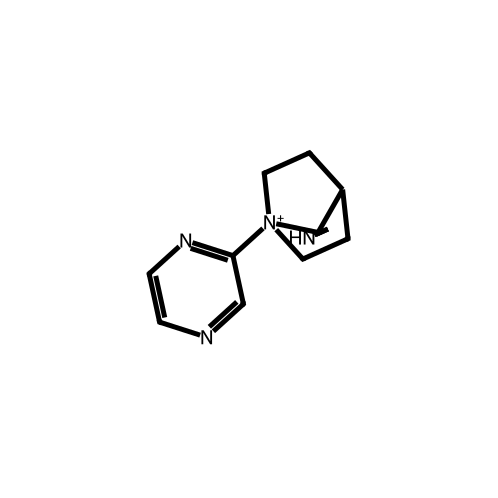 c1cnc([N+]23CCC(CC2)C32CCNC2)cn1